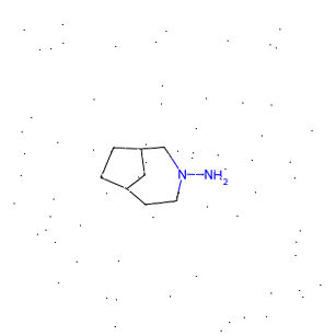 NN1CCC2CCC(C2)C1